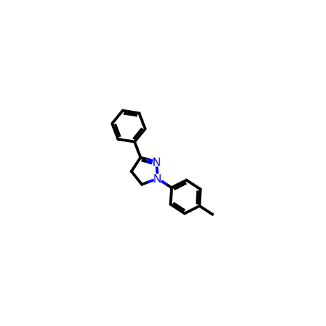 Cc1ccc(N2CCC(c3ccccc3)=N2)cc1